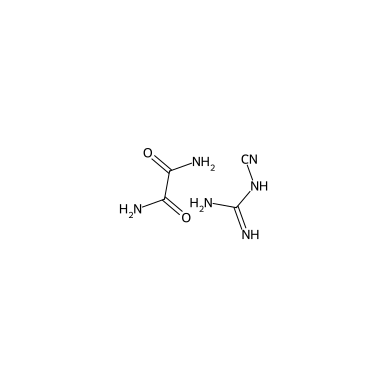 N#CNC(=N)N.NC(=O)C(N)=O